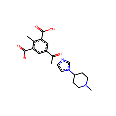 CC(=O)c1cc(C(=O)O)c(C)c(C(=O)O)c1.CN1CCC(n2ccnc2)CC1